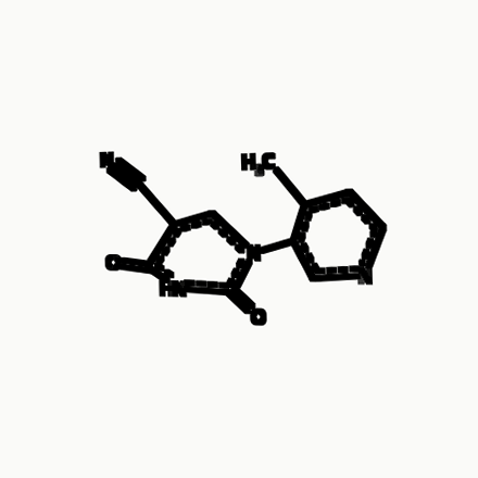 Cc1ccncc1-n1cc(C#N)c(=O)[nH]c1=O